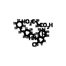 Clc1ccc2c(c1NCc1ccc(CC3CCCCC3)cc1)CCNCC2.O=C(O)CCC(=O)O